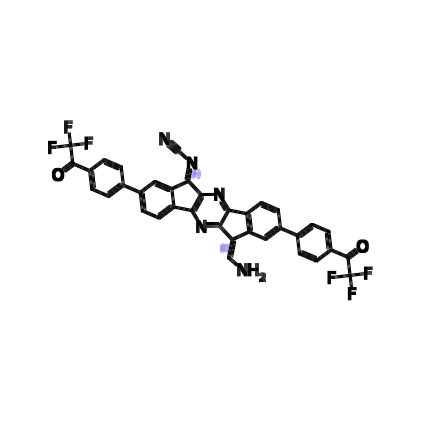 N#C/N=C1\c2cc(-c3ccc(C(=O)C(F)(F)F)cc3)ccc2-c2nc3c(nc21)-c1ccc(-c2ccc(C(=O)C(F)(F)F)cc2)cc1/C3=C\N